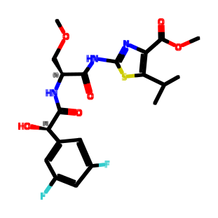 COC[C@H](NC(=O)[C@H](O)c1cc(F)cc(F)c1)C(=O)Nc1nc(C(=O)OC)c(C(C)C)s1